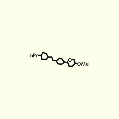 CCCC1CCC(CCC2CCC(C3CCC(OC)CO3)CC2)CC1